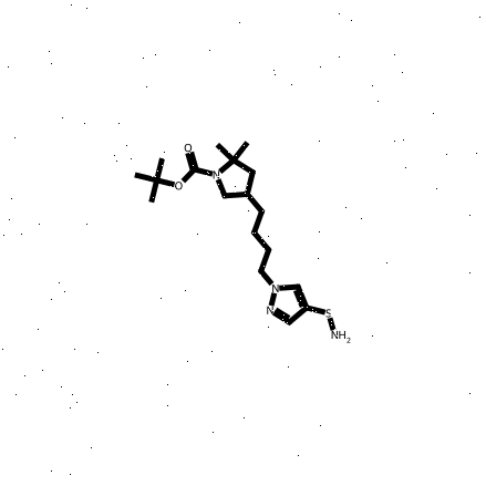 CC(C)(C)OC(=O)N1CC(CCCCn2cc(SN)cn2)CC1(C)C